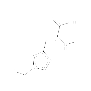 CCn1cnc(C[C@@H](NC)C(=O)O)c1